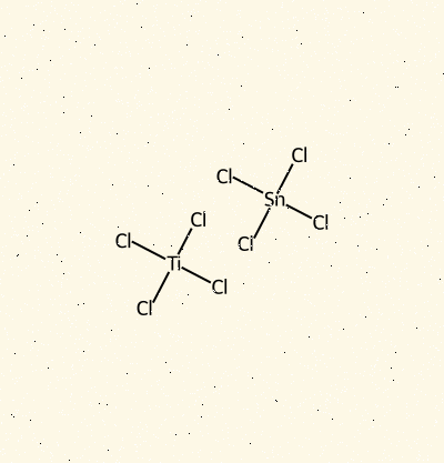 [Cl][Sn]([Cl])([Cl])[Cl].[Cl][Ti]([Cl])([Cl])[Cl]